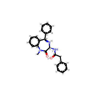 CN1C(=O)[C@H](NC(=O)Cc2ccccc2)N=C(c2ccccc2)c2ccccc21